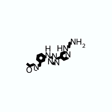 CC(=O)CN(C)Cc1cccc(Nc2ncnc(-c3ccnc(NCCN)c3)n2)c1